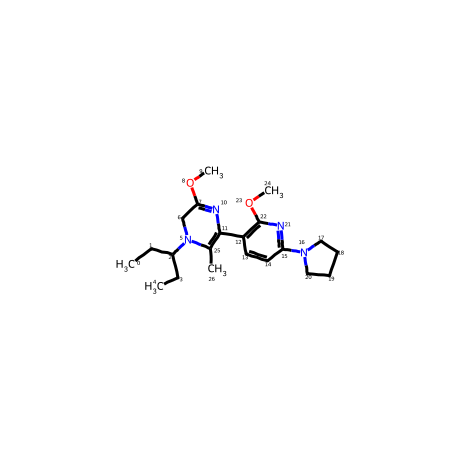 CCC(CC)N1CC(OC)=NC(c2ccc(N3CCCC3)nc2OC)=C1C